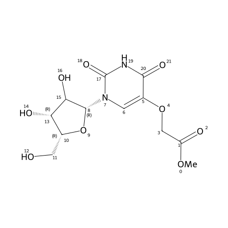 COC(=O)COc1cn([C@@H]2O[C@H](CO)[C@H](O)C2O)c(=O)[nH]c1=O